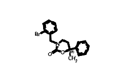 C[C@]1(c2ccccc2)CCN(Cc2ccccc2Br)C(=O)O1